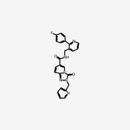 O=C(NCc1cccnc1-c1ccc(F)cc1)c1ccc2nn(Cc3ccccn3)c(=O)n2c1